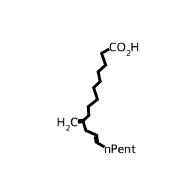 C=C(CC=CCCCCC)CCCCCCCCC(=O)O